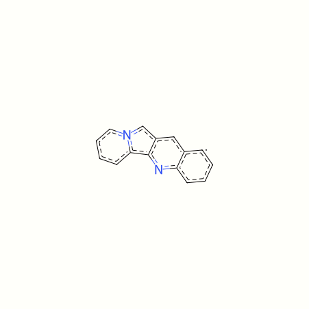 [c]1cccc2nc3c(cc12)cn1ccccc31